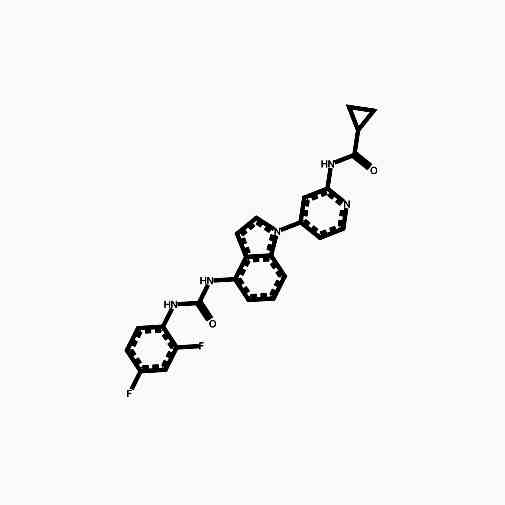 O=C(Nc1ccc(F)cc1F)Nc1cccc2c1ccn2-c1ccnc(NC(=O)C2CC2)c1